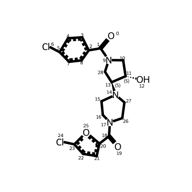 O=C(c1ccc(Cl)cc1)N1C[C@H](O)[C@@H](N2CCN(C(=O)c3ccc(Cl)o3)CC2)C1